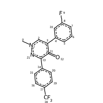 Cn1cc(-c2cccc(F)c2)c(=O)c(-c2ccc(C(F)(F)F)cc2)n1